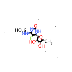 C[C@H]1O[C@@H](c2[nH]c(=O)nc(NC(=O)O)c2F)[C@H](O)[C@@H]1O